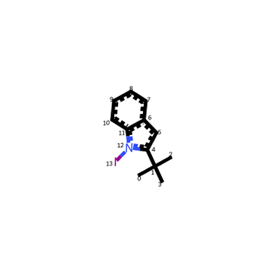 CC(C)(C)c1cc2ccccc2n1I